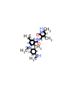 C=Cc1cc(C(=O)NCc2c(C)cc(C)[nH]c2=O)c(C)c(N(CC)C2CCC(NC)CC2)c1